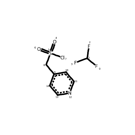 FC(F)F.O=S(=O)(Cl)Cc1ccncc1